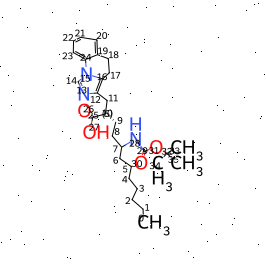 CCCCCCCC(CC[C@@H](Cc1ncn2c1CCc1ccccc1-2)C(=O)O)NC(=O)OC(C)(C)C